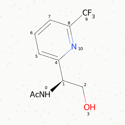 CC(=O)N[C@H](CO)c1cccc(C(F)(F)F)n1